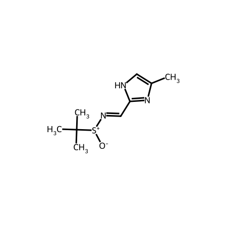 Cc1c[nH]c(C=N[S+]([O-])C(C)(C)C)n1